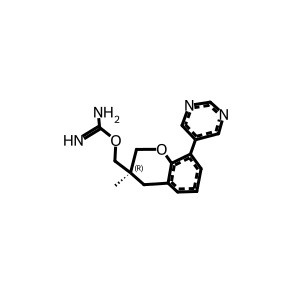 C[C@]1(COC(=N)N)COc2c(cccc2-c2cncnc2)C1